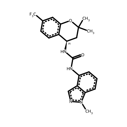 Cn1ncc2c(NC(=O)N[C@@H]3CC(C)(C)Oc4cc(C(F)(F)F)ccc43)cccc21